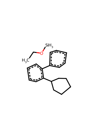 CCO[SiH3].c1ccc(-c2ccccc2C2CCCCC2)cc1